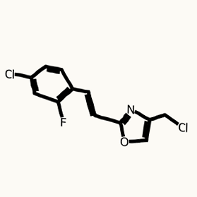 Fc1cc(Cl)ccc1/C=C/c1nc(CCl)co1